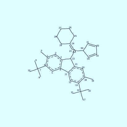 Cc1cc2c(cc1C(C)(C)C)-c1cc(C(C)(C)C)c(C)cc1[CH]2[Zr](=[C]1CCCCC1)[CH]1C=CC=C1